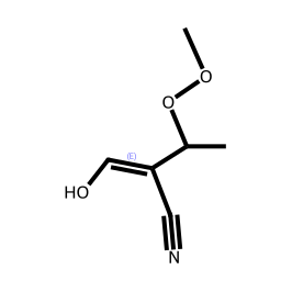 COOC(C)/C(C#N)=C/O